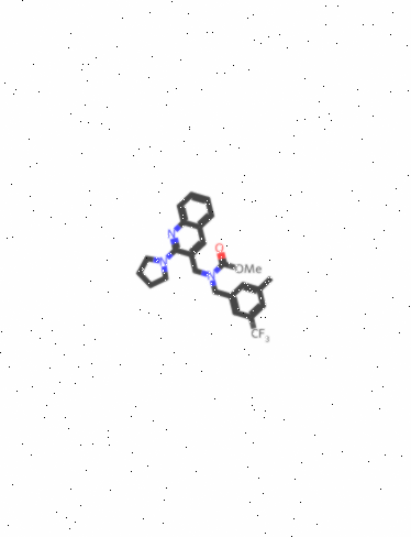 COC(=O)N(Cc1cc(C)cc(C(F)(F)F)c1)Cc1cc2ccccc2nc1N1CCCC1